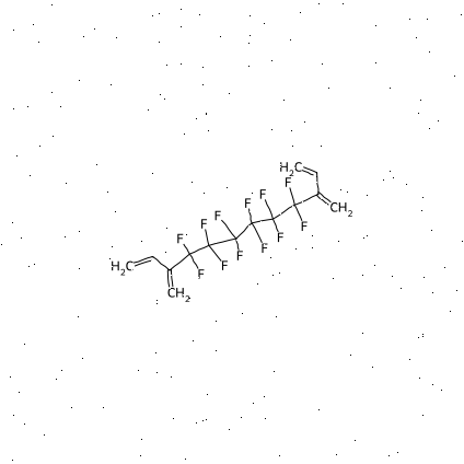 C=CC(=C)C(F)(F)C(F)(F)C(F)(F)C(F)(F)C(F)(F)C(F)(F)C(=C)C=C